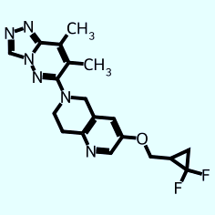 Cc1c(N2CCc3ncc(OCC4CC4(F)F)cc3C2)nn2cnnc2c1C